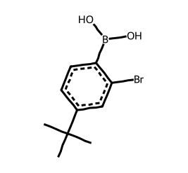 CC(C)(C)c1ccc(B(O)O)c(Br)c1